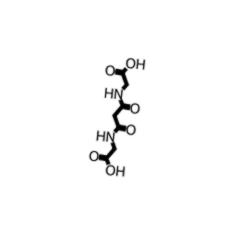 O=C(O)CNC(=O)CC(=O)NCC(=O)O